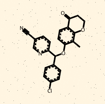 Cc1c(OC(c2ccc(Cl)cc2)c2ccc(C#N)cn2)ccc2c1OCCC2=O